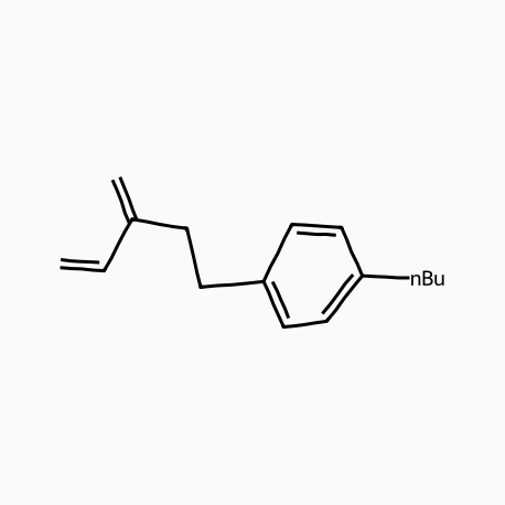 C=CC(=C)CCc1ccc(CCCC)cc1